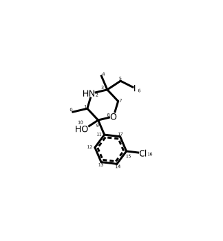 CC1NC(C)(CI)COC1(O)c1cccc(Cl)c1